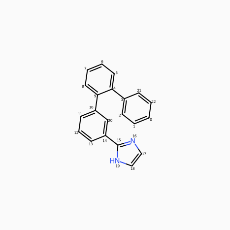 c1ccc(-c2ccccc2-c2cccc(-c3ncc[nH]3)c2)cc1